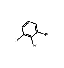 CCc1cccc(C(C)C)c1C(C)C